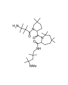 CNC(C)(C)CC(C)(C)CNC(=O)C1CCC(C)(C)CC(C)(C)N1C(=O)C1CCC(C)(C)CN1C(=O)C(C)(C)C(C)(C)N